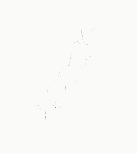 CCOC(=O)C(=O)Nc1cc(Cl)c(Oc2ccc(O)c(S(=O)(=O)NC(C)C)c2)c(Cl)c1